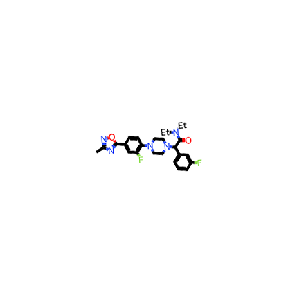 CCN(CC)C(=O)C(c1cccc(F)c1)N1CCN(c2ccc(-c3nc(C)no3)cc2F)CC1